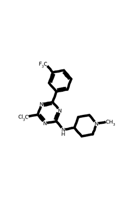 CN1CCC(Nc2nc(-c3cccc(C(F)(F)F)c3)nc(C(Cl)(Cl)Cl)n2)CC1